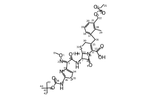 CO/N=C(\C(=O)N[C@@H]1C(=O)N2C(C(=O)O)=C(Cc3cccc(COS(C)(=O)=O)c3C)CS[C@H]12)c1csc(NC(=O)OC(C)(C)C)n1